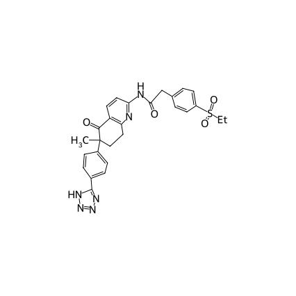 CCS(=O)(=O)c1ccc(CC(=O)Nc2ccc3c(n2)CCC(C)(c2ccc(-c4nnn[nH]4)cc2)C3=O)cc1